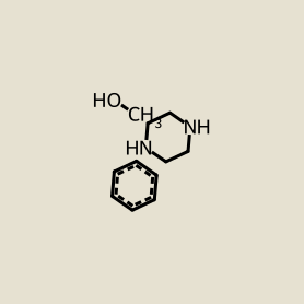 C1CNCCN1.CO.c1ccccc1